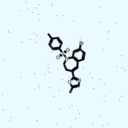 Cc1ccc(S(=O)(=O)N2CCC(c3ncc(C)o3)=Cc3ccc(Br)cc32)cc1